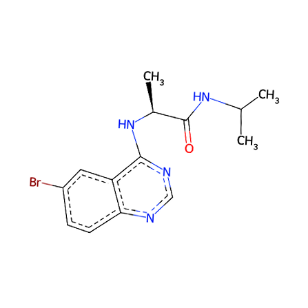 CC(C)NC(=O)[C@H](C)Nc1ncnc2ccc(Br)cc12